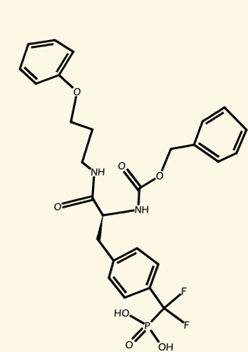 O=C(N[C@@H](Cc1ccc(C(F)(F)P(=O)(O)O)cc1)C(=O)NCCCOc1ccccc1)OCc1ccccc1